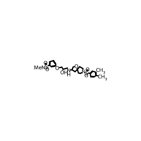 CNS(=O)(=O)c1cccc(OC[C@@H](O)CNC2COC3(CCN(S(=O)(=O)c4ccc(C)c(C)c4)CC3)C2)c1